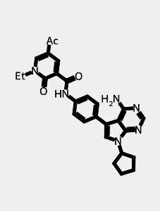 CCn1cc(C(C)=O)cc(C(=O)Nc2ccc(-c3cn(C4CCCC4)c4ncnc(N)c34)cc2)c1=O